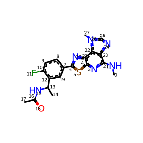 CNc1nc2sc(-c3ccc(F)c(C(C)NC(C)=O)c3)nc2c2c1ncn2C